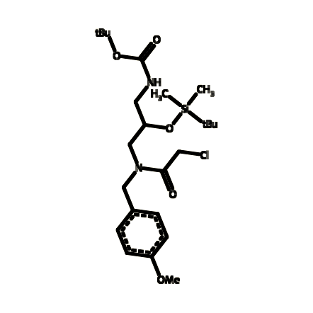 COc1ccc(CN(CC(CNC(=O)OC(C)(C)C)O[Si](C)(C)C(C)(C)C)C(=O)CCl)cc1